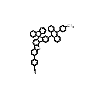 Cc1ccc(-c2c3ccccc3c(-c3ccc4c(c3)C3(c5ccccc5-c5ccccc53)c3ccc5c(sc6cc(-c7ccc(C#N)cc7)ccc65)c3-4)c3ccccc23)cc1